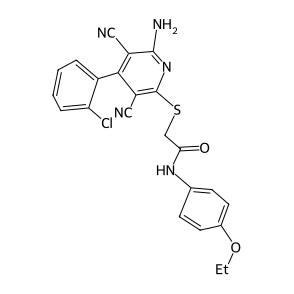 CCOc1ccc(NC(=O)CSc2nc(N)c(C#N)c(-c3ccccc3Cl)c2C#N)cc1